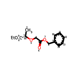 CCOC(=O)[C@H](C)OCC(=O)OCc1ccccc1